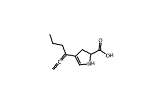 C=C=C(CCC)C1=CNC(C(=O)O)C1